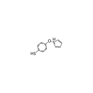 Sc1ccc(O[SH]2C=CC=C2)cc1